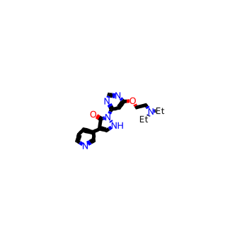 CCN(CC)CCOc1cc(-n2[nH]cc(-c3cccnc3)c2=O)ncn1